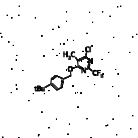 Cc1c(Cl)nc(C(F)(F)F)nc1OCc1ccc(C(C)(C)C)cc1